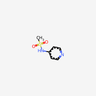 CS(=O)(=O)Nc1ccncc1